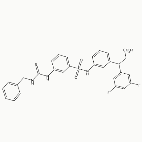 O=C(O)CC(c1cc(F)cc(F)c1)c1cccc(NS(=O)(=O)c2cccc(NC(=S)NCc3ccccc3)c2)c1